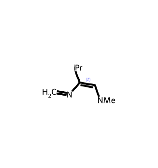 C=N/C(=C\NC)C(C)C